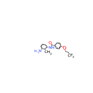 Cc1c(N)cccc1NC(=O)c1ccc(OCCC(F)(F)F)cc1